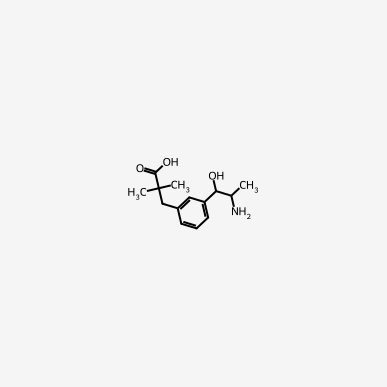 CC(N)C(O)c1cccc(CC(C)(C)C(=O)O)c1